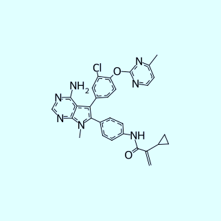 C=C(C(=O)Nc1ccc(-c2c(-c3ccc(Oc4nccc(C)n4)c(Cl)c3)c3c(N)ncnc3n2C)cc1)C1CC1